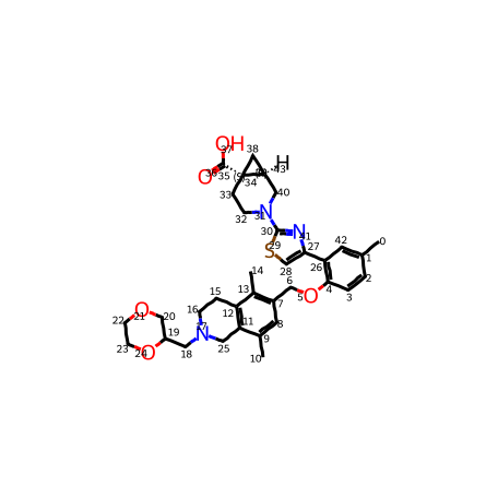 Cc1ccc(OCc2cc(C)c3c(c2C)CCN(CC2COCCO2)C3)c(-c2csc(N3CC[C@@]4(C(=O)O)C[C@H]4C3)n2)c1